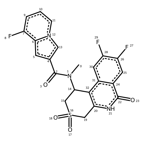 CN(C(=O)c1cc2c(F)cccn2c1)C1CS(=O)(=O)Cc2[nH]c(=O)c3cc(F)c(F)cc3c21